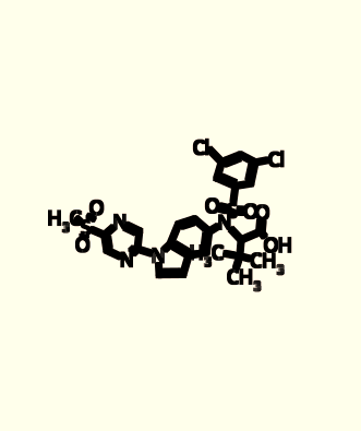 CC(C)(C)C(C(=O)O)N(c1ccc2c(ccn2-c2cnc(S(C)(=O)=O)cn2)c1)S(=O)(=O)c1cc(Cl)cc(Cl)c1